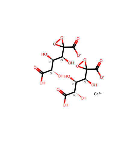 O=C(O)[C@@H](O)[C@@H](O)[C@H](O)C1(C(=O)[O-])OO1.O=C(O)[C@@H](O)[C@@H](O)[C@H](O)C1(C(=O)[O-])OO1.[Ca+2]